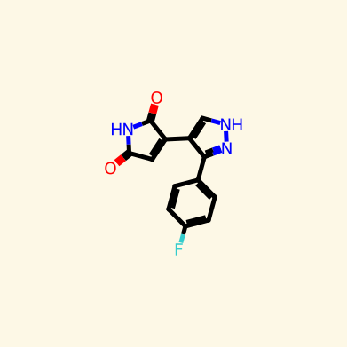 O=C1C=C(c2c[nH]nc2-c2ccc(F)cc2)C(=O)N1